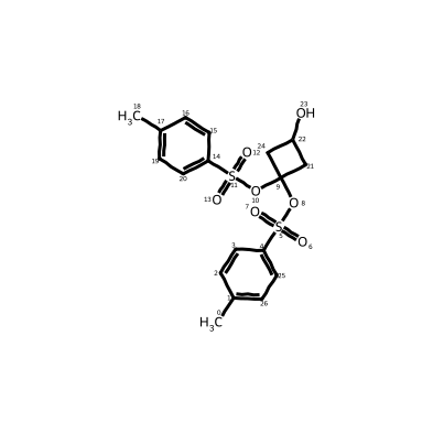 Cc1ccc(S(=O)(=O)OC2(OS(=O)(=O)c3ccc(C)cc3)CC(O)C2)cc1